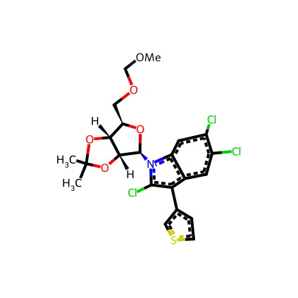 COCOC[C@H]1O[C@@H](n2c(Cl)c(-c3ccsc3)c3cc(Cl)c(Cl)cc32)[C@@H]2OC(C)(C)O[C@@H]21